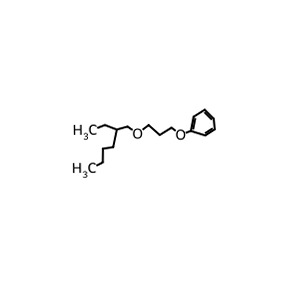 CCCCC(CC)COCCCOc1ccccc1